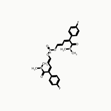 CN(C)C(=O)/C(=C\C=C\O[PH](=O)O/C=C/C=C(\C(=O)N(C)C)c1ccc(F)cc1)c1ccc(F)cc1